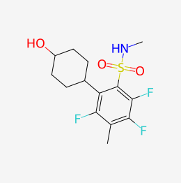 CNS(=O)(=O)c1c(F)c(F)c(C)c(F)c1C1CCC(O)CC1